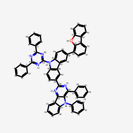 c1ccc(-c2nc(-c3ccccc3)nc(-n3c4ccc(-c5nc(-c6ccccc6)c6c(n5)c5ccccc5n6-c5ccccc5)cc4c4cc(-c5cccc6c5oc5ccccc56)ccc43)n2)cc1